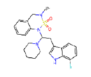 CC(C)N1Cc2ccccc2N(C(Cc2c[nH]c3c(F)cccc23)N2CCCCC2)S1(=O)=O